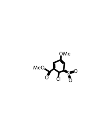 COC(=O)C1=CC(OC)=CC(=S(=O)=O)C1Cl